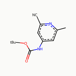 Cc1cc(NC(=O)OC(C)(C)C)cc(C#N)n1